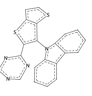 c1ccc2c(c1)c1ccccc1n2-c1c(-c2ncncn2)sc2ccsc12